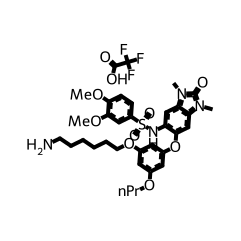 CCCOc1cc(OCCCCCCN)cc(Oc2cc3c(cc2NS(=O)(=O)c2ccc(OC)c(OC)c2)n(C)c(=O)n3C)c1.O=C(O)C(F)(F)F